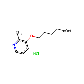 CCCCCCCCCCCCOc1cccnc1C.Cl